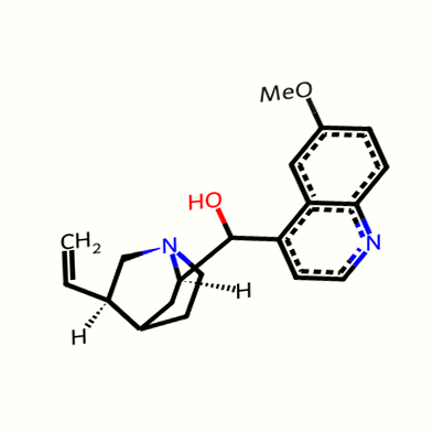 C=C[C@H]1C[N@@]2CCC1C[C@@H]2C(O)c1ccnc2ccc(OC)cc12